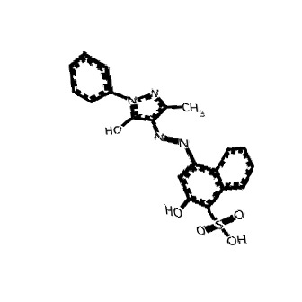 Cc1nn(-c2ccccc2)c(O)c1N=Nc1cc(O)c(S(=O)(=O)O)c2ccccc12